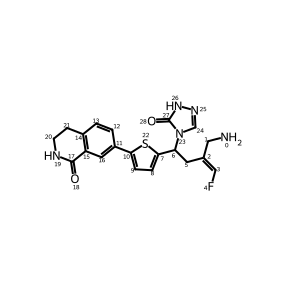 NC/C(=C/F)CC(c1ccc(-c2ccc3c(c2)C(=O)NCC3)s1)n1cn[nH]c1=O